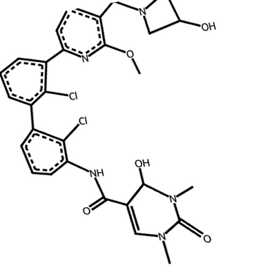 COc1nc(-c2cccc(-c3cccc(NC(=O)C4=CN(C)C(=O)N(C)C4O)c3Cl)c2Cl)cnc1CN1CC(O)C1